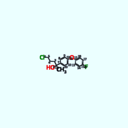 CC(O)(CCCCl)c1ccc(Oc2ccc(F)cc2)cc1